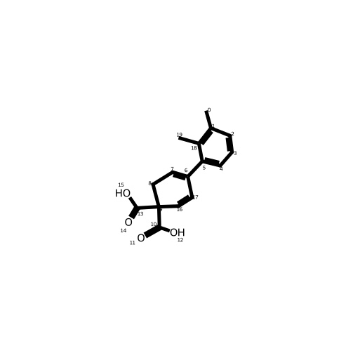 Cc1cccc(C2=CCC(C(=O)O)(C(=O)O)C=C2)c1C